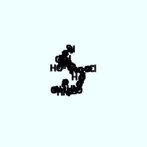 CCC(CC(=O)N[C@H](C(=O)N1C[C@H](O)C[C@H]1C(=O)N[C@@H](C)c1ccc(-c2scnc2C)cc1)C(C)(C)C)C(=O)NCC1(C)CCC(c2ccc(Cl)cc2)=C(CN2CCN(c3ccc(C(=O)NSc4ccc(N[C@H](CCN5CCOCC5)CSc5ccccc5)c(C)c4)cc3)CC2)C1